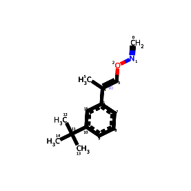 C=NO/C=C(\C)c1cccc(C(C)(C)C)c1